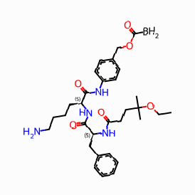 BC(=O)OCc1ccc(NC(=O)[C@H](CCCCN)NC(=O)[C@H](Cc2ccccc2)NC(=O)CCC(C)(C)OCC)cc1